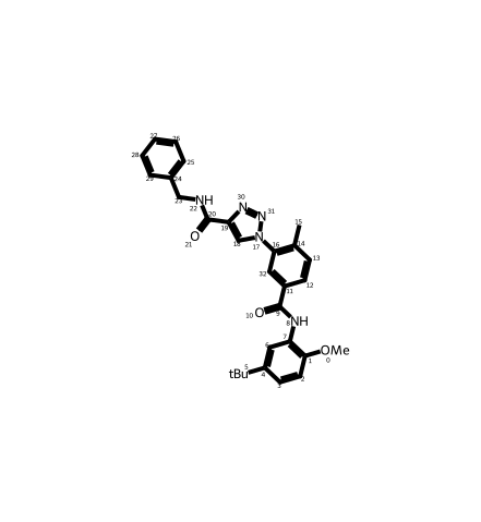 COc1ccc(C(C)(C)C)cc1NC(=O)c1ccc(C)c(-n2cc(C(=O)NCc3ccccc3)nn2)c1